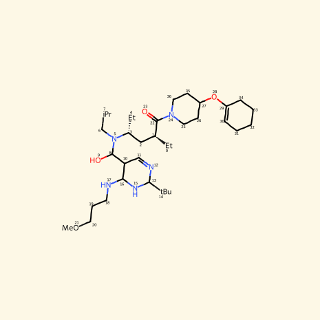 CC[C@@H](C[C@@H](CC)N(CC(C)C)C(O)C1C=NC(C(C)(C)C)NC1NCCCOC)C(=O)N1CCC(OC2=CCCCC2)CC1